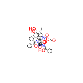 CCCCC1(CCC)CC(O)CCC1[C@@H]1N2[C@H](c3ccccc3)[C@H](c3ccccc3)OC(=O)[C@H]2[C@H](C(=O)NC[C@H](O)c2ccccc2)[C@@]12C(=O)N(C(=O)OCCOC)c1ccc(CCO)cc12